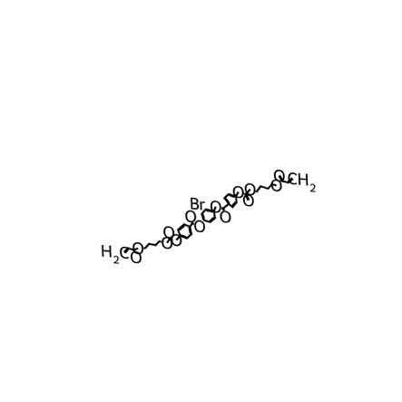 C=CC(=O)OCCCCOC(=O)Oc1ccc(C(=O)Oc2ccc(OC(=O)c3ccc(OC(=O)OCCCCOC(=O)C=C)cc3)c(Br)c2)cc1